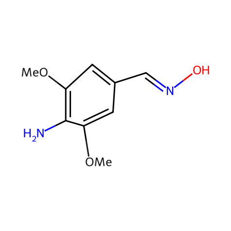 COc1cc(C=NO)cc(OC)c1N